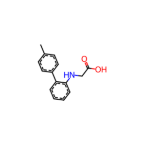 Cc1ccc(-c2ccccc2NCC(=O)O)cc1